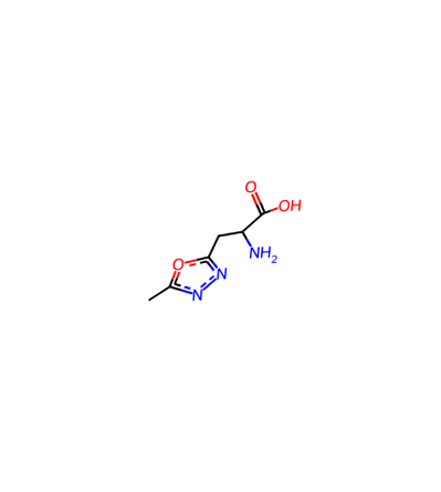 Cc1nnc(CC(N)C(=O)O)o1